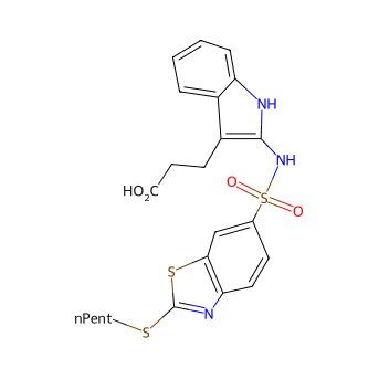 CCCCCSc1nc2ccc(S(=O)(=O)Nc3[nH]c4ccccc4c3CCC(=O)O)cc2s1